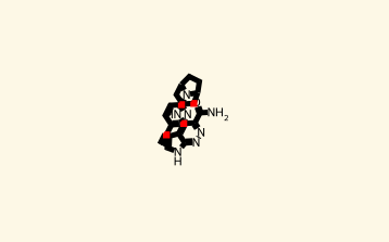 C#Cc1ccc(N2C3CCC2CC(Nc2c(C(N)=O)nnc4[nH]ccc24)C3)nn1